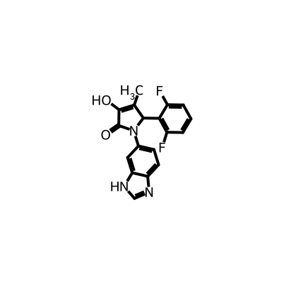 CC1=C(O)C(=O)N(c2ccc3nc[nH]c3c2)C1c1c(F)cccc1F